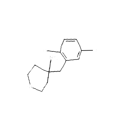 NC1(Cc2cc(Cl)ccc2Cl)CCNCC1